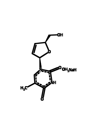 Cc1cn([C@H]2C=C[C@@H](CO)O2)c(=O)[nH]c1=O.O.[NaH]